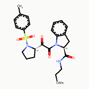 COCCNC(=O)[C@@H]1Cc2ccccc2N1C(=O)C(=O)[C@@H]1CCCN1S(=O)(=O)c1ccc(C)cc1